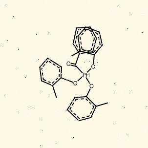 Cc1ccccc1O[PH](Oc1ccccc1C)(Oc1ccccc1C)C(=O)c1ccccc1